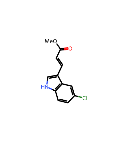 COC(=O)C=Cc1c[nH]c2ccc(Cl)cc12